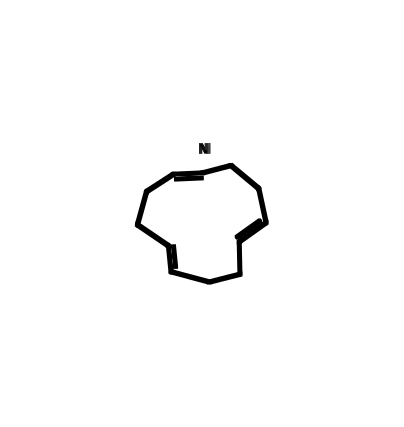 C1=C/CC/C=C/CC/C=C/CC/1.[Ni]